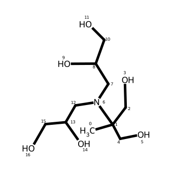 CC(CO)(CO)N(CC(O)CO)CC(O)CO